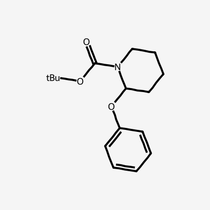 CC(C)(C)OC(=O)N1CCCCC1Oc1ccccc1